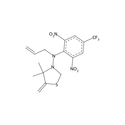 C=CCN(c1c([N+](=O)[O-])cc(C(F)(F)F)cc1[N+](=O)[O-])N1CSC(=C)C1(C)C